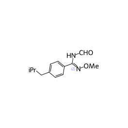 CO/N=C(\NC=O)c1ccc(CC(C)C)cc1